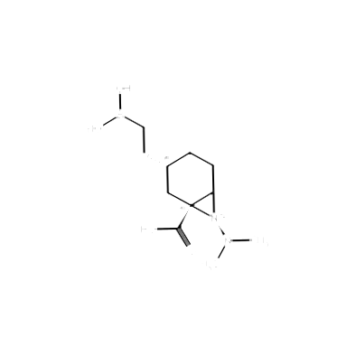 CN(C)[N@]1C2CC[C@@H](CCB(O)O)C[C@]21C(=O)O